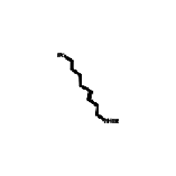 CCCCCCCC/C=C/CCCCC(C)C